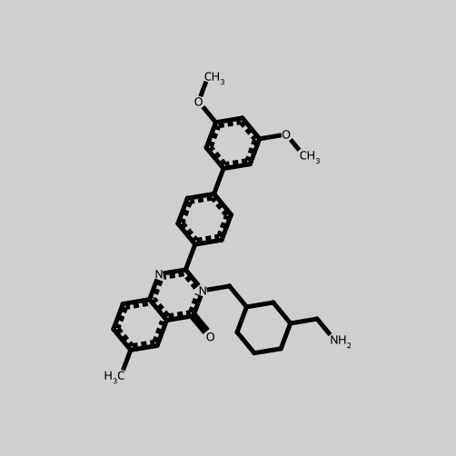 COc1cc(OC)cc(-c2ccc(-c3nc4ccc(C)cc4c(=O)n3CC3CCCC(CN)C3)cc2)c1